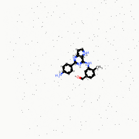 Cc1ccc(C=O)cc1Nc1nc(-c2ccc(N)cc2)nc2cc[nH]c12